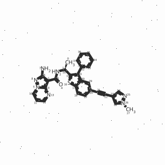 C[C@H](NC(=O)c1c(N)nn2cccnc12)c1sc2ccc(C#Cc3cnn(C)c3)cc2c1-c1ccccc1